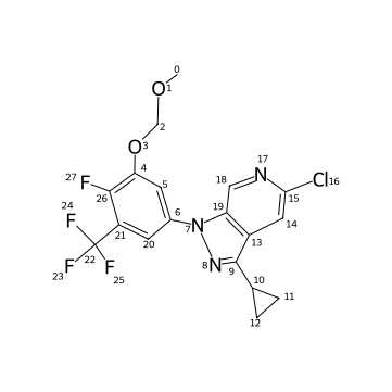 COCOc1cc(-n2nc(C3CC3)c3cc(Cl)ncc32)cc(C(F)(F)F)c1F